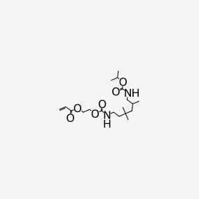 C=CC(=O)OCCOC(=O)NCCC(C)(C)CC(C)CNC(=O)OC(C)C